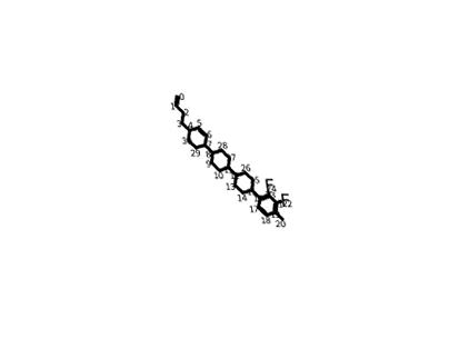 C=CCCC1C=CC(C2CCC(C3CCC(c4ccc(C)c(F)c4F)CC3)CC2)CC1